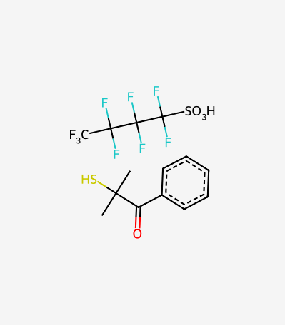 CC(C)(S)C(=O)c1ccccc1.O=S(=O)(O)C(F)(F)C(F)(F)C(F)(F)C(F)(F)F